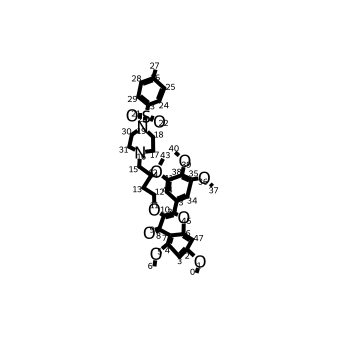 COc1cc(OC)c2c(=O)c(OCCCCN3CCN(S(=O)(=O)c4ccc(C)cc4)CC3)c(-c3cc(OC)c(OC)c(OC)c3)oc2c1